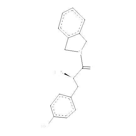 N[C@H](Cc1ccc(O)cc1)C(=O)N1Cc2ccccc2C1